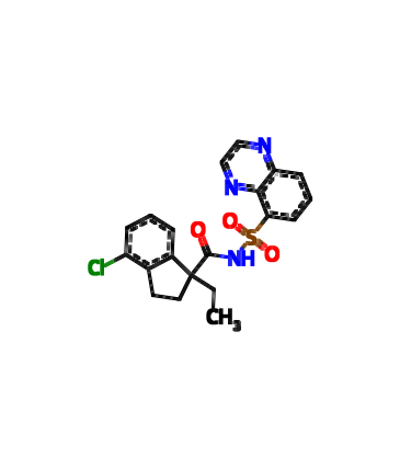 CCC1(C(=O)NS(=O)(=O)c2cccc3nccnc23)CCc2c(Cl)cccc21